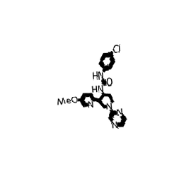 COc1ccc(C2CN(c3cnccn3)CCC2NC(=O)Nc2ccc(Cl)cc2)nc1